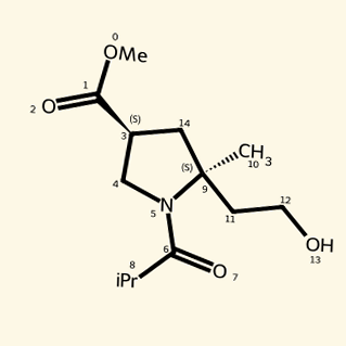 COC(=O)[C@@H]1CN(C(=O)C(C)C)[C@](C)(CCO)C1